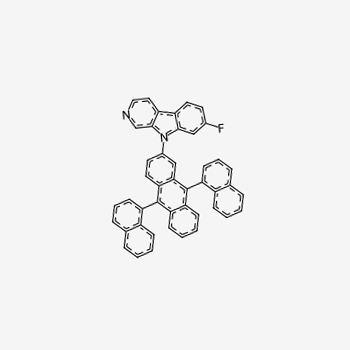 Fc1ccc2c3ccncc3n(-c3ccc4c(-c5cccc6ccccc56)c5ccccc5c(-c5cccc6ccccc56)c4c3)c2c1